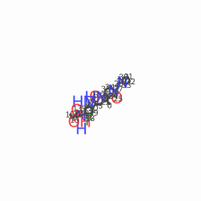 Cc1c(C=C2C(=O)Nc3cc(NC(=O)C(C)O)c(F)cc32)[nH]c2c1C(=O)N(CCN1CCCC1)CC2